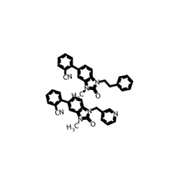 Cn1c(=O)n(CCc2ccccc2)c2ccc(-c3ccccc3C#N)cc21.Cn1c(=O)n(Cc2cccnc2)c2ccc(-c3ccccc3C#N)cc21